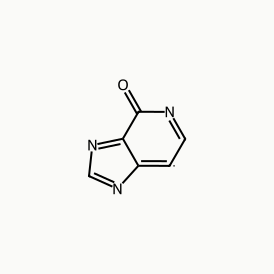 O=C1N=C[C]=C2N=CN=C12